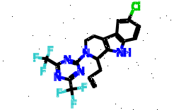 C=CCC1c2[nH]c3ccc(Cl)cc3c2CCN1c1nc(C(F)(F)F)nc(C(F)(F)F)n1